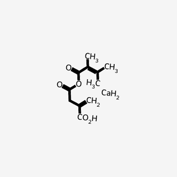 C=C(CC(=O)OC(=O)C(C)=C(C)C)C(=O)O.[CaH2]